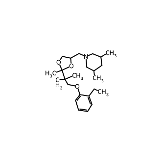 CCc1ccccc1OCC(C)(C)C1(C)OCC(CN2CC(C)CC(C)C2)O1